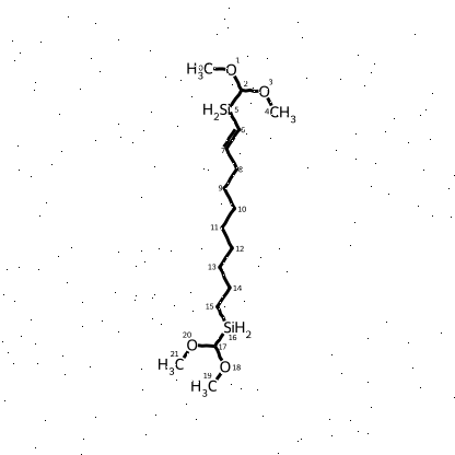 COC(OC)[SiH2]C=CCCCCCCCC[SiH2]C(OC)OC